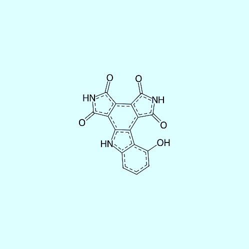 O=c1[nH]c(=O)c2c1c1[nH]c3cccc(O)c3c1c1c(=O)[nH]c(=O)c21